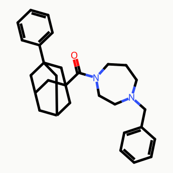 O=C(N1CCCN(Cc2ccccc2)CC1)C12CC3CC(C1)CC(c1ccccc1)(C3)C2